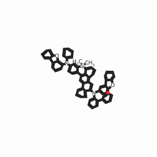 C[Si]1(C)c2cc(N(c3ccccc3)c3cccc4c3oc3ccccc34)ccc2-c2cc3c4ccccc4c(N(c4ccc5oc6ccccc6c5c4)c4ccccc4-c4ccccc4)cc3c3cccc1c23